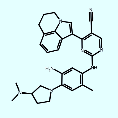 Cc1cc(N2CC[C@@H](N(C)C)C2)c(N)cc1Nc1ncc(C#N)c(-c2cn3c4c(cccc24)CCC3)n1